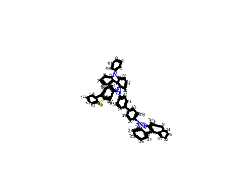 c1ccc(-n2c3ccccc3c3c(N(c4ccc(-c5ccc(-n6c7ccccc7c7c8ccccc8ccc76)cc5)cc4)c4ccc5c(c4)sc4ccccc45)cccc32)cc1